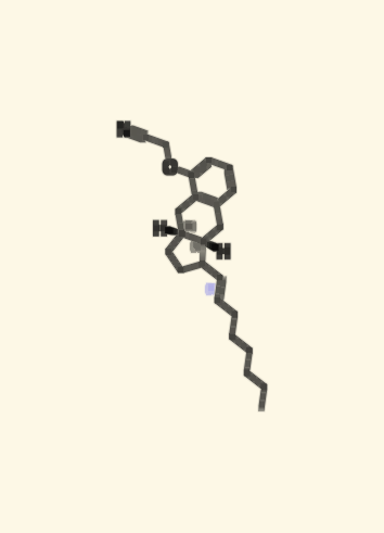 CCCCCC/C=C/C1CC[C@@H]2Cc3c(cccc3OCC#N)C[C@H]12